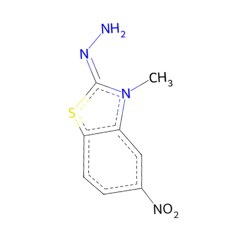 Cn1c(=NN)sc2ccc([N+](=O)[O-])cc21